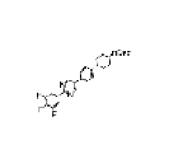 CCCCCCCCCC[C@H]1CC[C@H](c2ccc(-c3cnc(-c4cc(F)c(F)c(F)c4)nc3)cc2)CC1